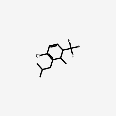 CC(C)CC1=C(Cl)C=CC(C(F)(F)F)C1C